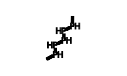 CPPPPPC